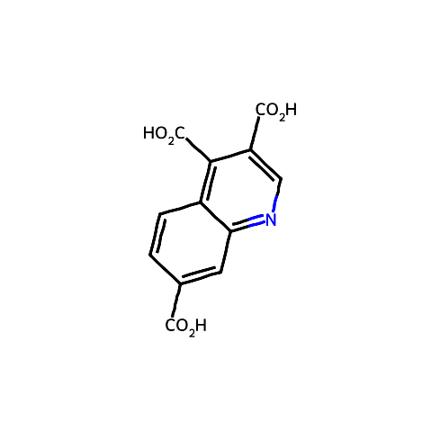 O=C(O)c1ccc2c(C(=O)O)c(C(=O)O)cnc2c1